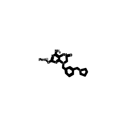 CCC[C@H](C)Oc1nc(N)c2c(n1)N(Cc1cccc(CN3CCCC3)c1)CC(=O)N2